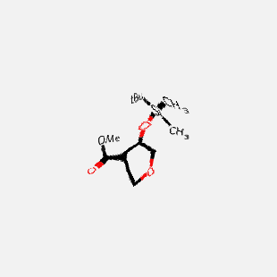 COC(=O)C1COCC1O[Si](C)(C)C(C)(C)C